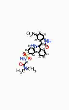 CN(C)C(=O)CNS(=O)(=O)c1ccc(NC(=C2C(=O)Nc3ccc([N+](=O)[O-])cc32)c2ccccc2)cc1